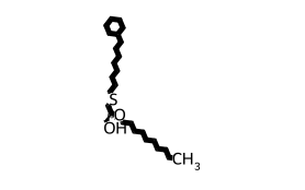 CCCCCCCCCCO[C@@H](CO)CSCCCCCCCCC1CCCCC1